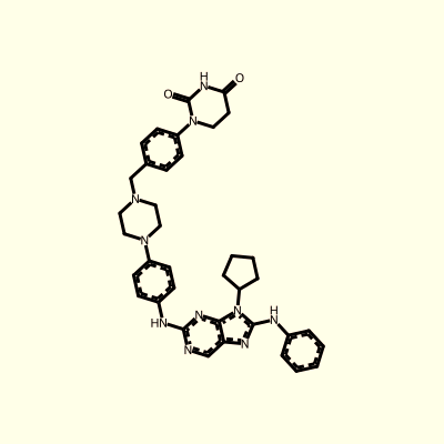 O=C1CCN(c2ccc(CN3CCN(c4ccc(Nc5ncc6nc(Nc7ccccc7)n(C7CCCC7)c6n5)cc4)CC3)cc2)C(=O)N1